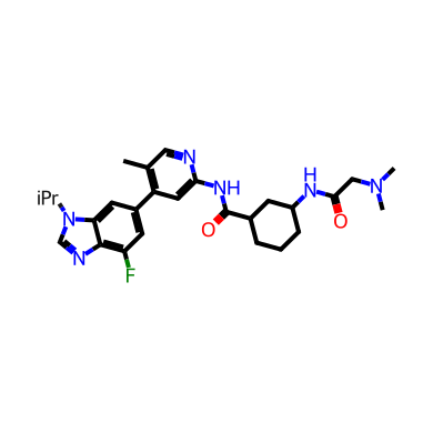 Cc1cnc(NC(=O)C2CCCC(NC(=O)CN(C)C)C2)cc1-c1cc(F)c2ncn(C(C)C)c2c1